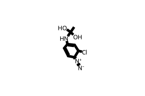 CC(O)(O)NC1=CC(Cl)C(=[N+]=[N-])C=C1